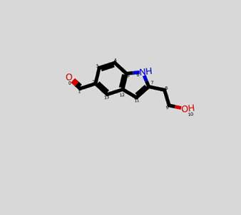 O=Cc1ccc2[nH]c(CCO)cc2c1